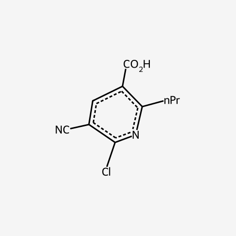 CCCc1nc(Cl)c(C#N)cc1C(=O)O